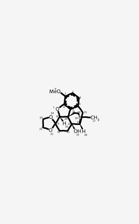 COc1ccc2c3c1O[C@H]1C4(CC[C@@]5(O)[C@@H](C2)N(C)CC[C@]315)OCCO4